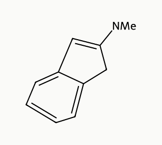 CNC1=Cc2ccccc2C1